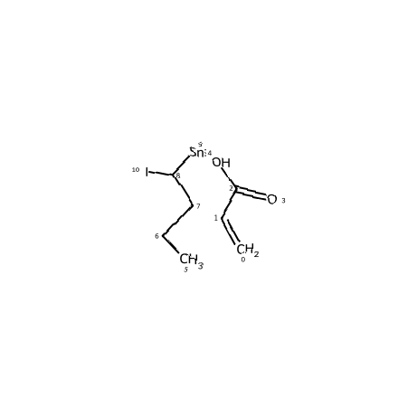 C=CC(=O)O.CCC[CH]([Sn])I